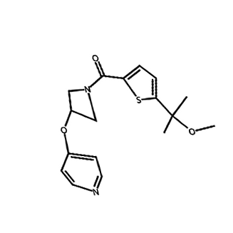 COC(C)(C)c1ccc(C(=O)N2CC(Oc3ccncc3)C2)s1